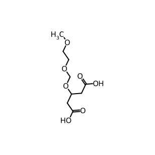 COCCOCOC(CC(=O)O)CC(=O)O